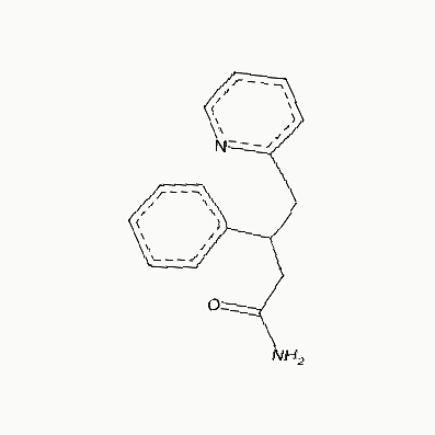 NC(=O)CC(Cc1ccccn1)c1ccccc1